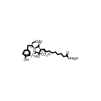 CCCCCCCC(=O)CCCCCC/C=C/[C@H](C(=O)N[C@H](COC(C)=O)Cc1ccc(O)cc1)[C@@](O)(CC(=O)O)C(=O)O